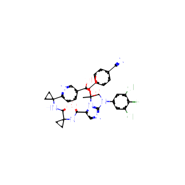 CC1(Cc2ccc(C#N)cc2)C(=O)N(c2cc(Cl)c(F)c(Cl)c2)c2ncc(C(=O)NC3(C(=O)NC4(c5ccc(C(=O)O)cn5)CC4)CC3)n21